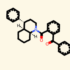 O=C(c1ccccc1)c1ccccc1C(=O)N1CC[C@@H](c2ccccc2)[C@@H]2CCCC[C@@H]21